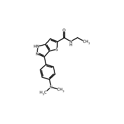 CCNC(=O)c1cc2[nH]nc(-c3ccc(N(C)C)cc3)c2s1